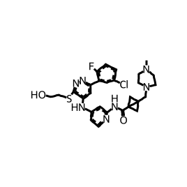 CN1CCN(CC23CC2(C(=O)Nc2cc(Nc4cc(-c5cc(Cl)ccc5F)nnc4SCCO)ccn2)C3)CC1